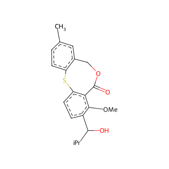 COc1c(C(O)C(C)C)ccc2c1C(=O)OCc1cc(C)ccc1S2